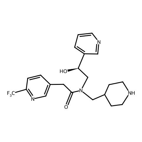 O=C(Cc1ccc(C(F)(F)F)nc1)N(CC1CCNCC1)C[C@@H](O)c1cccnc1